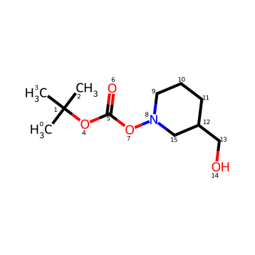 CC(C)(C)OC(=O)ON1CCCC(CO)C1